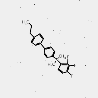 CCCc1ccc(-c2ccc([Si](C)(C)c3ccc(F)c(F)c3F)cc2)cc1